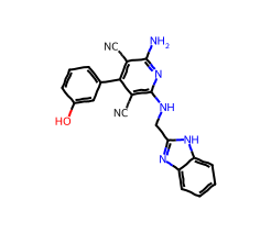 N#Cc1c(N)nc(NCc2nc3ccccc3[nH]2)c(C#N)c1-c1cccc(O)c1